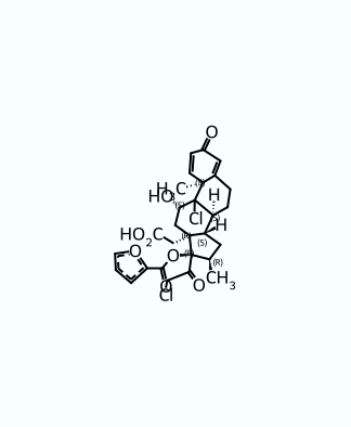 C[C@@H]1C[C@H]2[C@@H]3CCC4=CC(=O)C=C[C@]4(C)C3(Cl)[C@@H](O)C[C@]2(CC(=O)O)[C@@]1(OC(=O)c1ccco1)C(=O)CCl